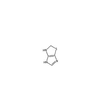 c1nc2c([nH]1)NCS2